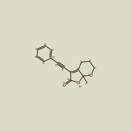 CC12OCCCC1=C(C#Cc1ccccc1)C(=O)O2